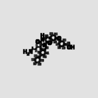 NCCCC[C@H]1C(=O)N[C@@H](Cc2ccc(Oc3cccc(CO)c3)cc2)C(=O)N1Cc1ccc(-c2ccccc2)cc1